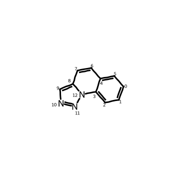 c1ccc2c(c1)ccc1cnnn12